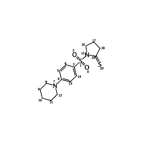 O=S(=O)(c1ccc(N2CCCCC2)cc1)N1CCCC1=S